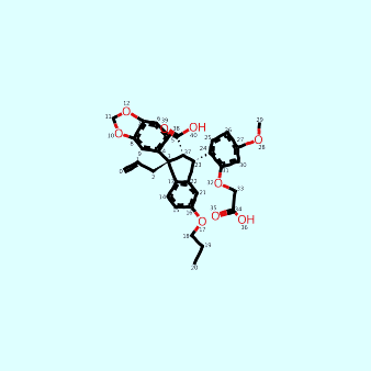 C=CC[C@]1(c2ccc3c(c2)OCO3)c2ccc(OCCC)cc2[C@@H](c2ccc(OC)cc2OCC(=O)O)[C@H]1C(=O)O